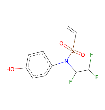 C=CS(=O)(=O)N(c1ccc(O)cc1)C(F)C(F)F